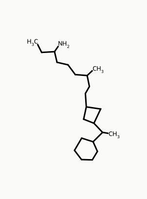 CCC(N)CCCC(C)CCC1CC(C(C)C2CCCCC2)C1